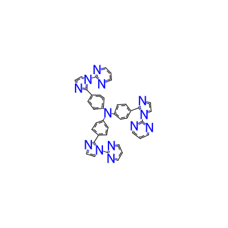 c1cnc(-n2ccnc2-c2ccc(N(c3ccc(-c4nccn4-c4ncccn4)cc3)c3ccc(-c4nccn4-c4ncccn4)cc3)cc2)nc1